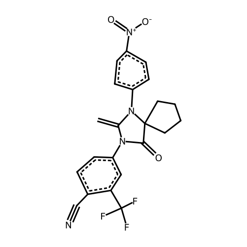 C=C1N(c2ccc(C#N)c(C(F)(F)F)c2)C(=O)C2(CCCC2)N1c1ccc([N+](=O)[O-])cc1